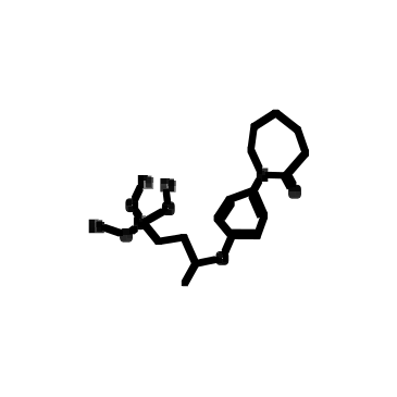 CCO[Si](CCC(C)Oc1ccc(N2CCCCCC2=O)cc1)(OCC)OCC